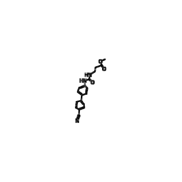 COC(=O)CCNC(=O)Nc1ccc(-c2ccc(C#N)cc2)cc1